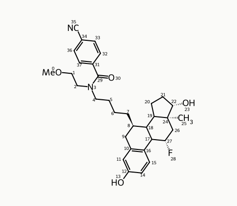 COCCN(CCCC[C@@H]1Cc2cc(O)ccc2C2C1C1CC[C@H](O)[C@@]1(C)C[C@@H]2F)C(=O)c1ccc(C#N)cc1